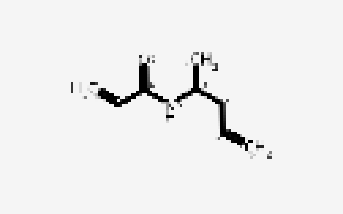 C=CCC(C)NC(=O)C=C